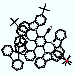 CC(C)(C)c1ccc2c(c1)c1ccccc1n2-c1c(C#N)c(-n2c3ccccc3c3cc(C(C)(C)C)ccc32)c(-n2c3ccccc3c3cc(C(C)(C)C)ccc32)c(-c2cccc3c2-c2ccccc2C32c3ccccc3-c3ccccc32)c1-n1c2ccccc2c2cc(C(C)(C)C)ccc21